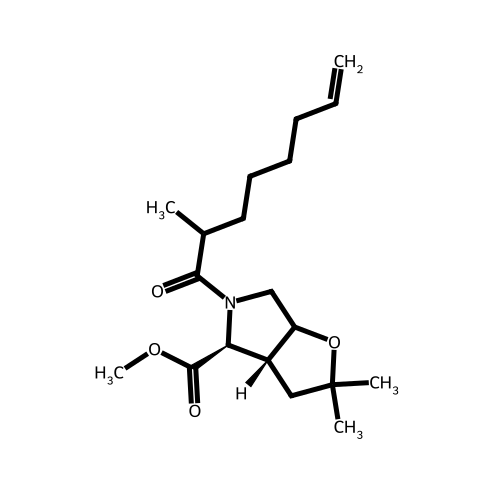 C=CCCCCC(C)C(=O)N1CC2OC(C)(C)C[C@@H]2[C@H]1C(=O)OC